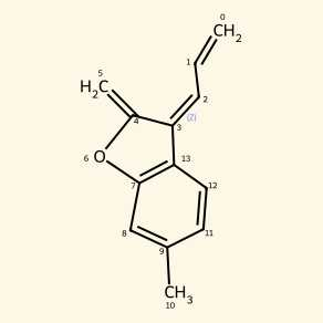 C=C/C=c1\c(=C)oc2cc(C)ccc12